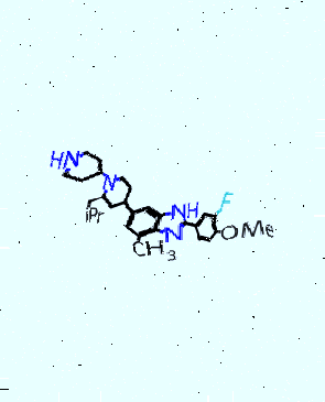 COc1ccc(-c2nc3c(C)cc(C4CCN(C5CCNCC5)[C@H](CC(C)C)C4)cc3[nH]2)cc1F